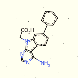 Nc1ncnc2c1c1ccc(-c3ccccc3)cc1n2CC(=O)O